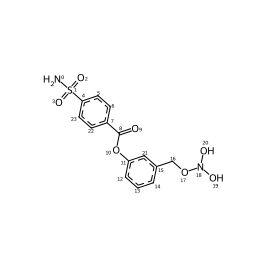 NS(=O)(=O)c1ccc(C(=O)Oc2cccc(CON(O)O)c2)cc1